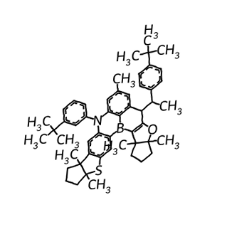 Cc1cc2c3c(c1)N(c1cccc(C(C)(C)C)c1)c1cc4c(cc1B3C1=C(OC3(C)CCCC13C)C2C(C)c1ccc(C(C)(C)C)cc1)SC1(C)CCCC41C